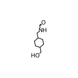 O=CNCC1CCC(CO)CC1